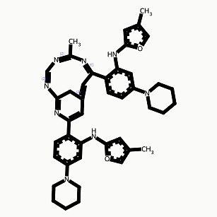 CC1=N/C=N\C2=NC(c3ccc(N4CCCCC4)cc3Nc3cc(C)co3)=C\C(=C/C(c3ccc(N4CCCCC4)cc3Nc3cc(C)co3)=N\1)C2